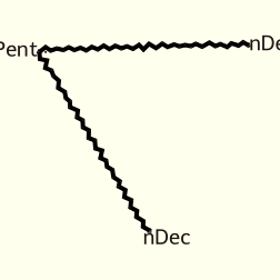 [CH2]CCCC[C](CCCCCCCCCCCCCCCCCCCCCCCCCCCCCCCCCCCCCCCCCCCCCC)CCCCCCCCCCCCCCCCCCCCCCCCCCCCCCCCCCCCCCCCCCCCCC